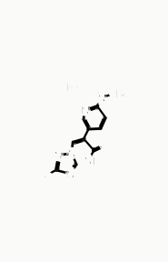 CC(C)(C)N(C(=O)O)c1ccc(C(=Cn2cnc(Br)n2)C(N)=O)cn1